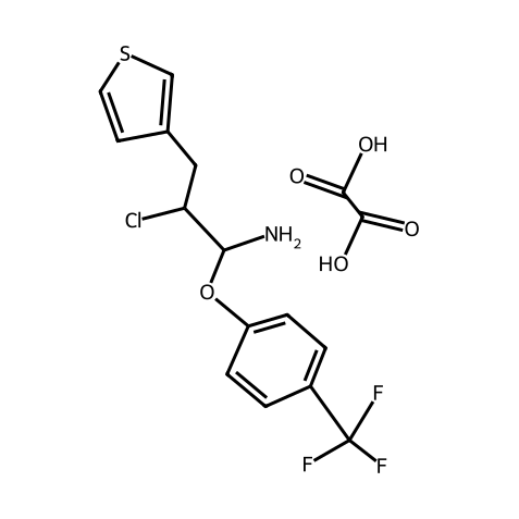 NC(Oc1ccc(C(F)(F)F)cc1)C(Cl)Cc1ccsc1.O=C(O)C(=O)O